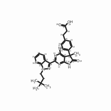 CC(C)(C)CCn1nc(-c2nc(N)c3c(n2)NC(=O)C3(C)c2ccc(CCC(=O)O)cc2)c2cccnc21